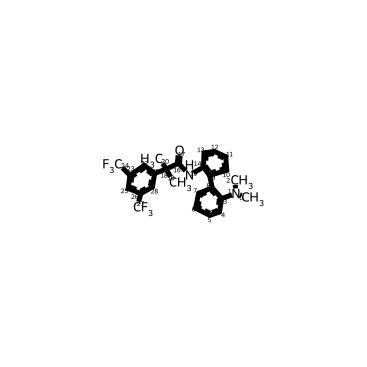 CN(C)c1ccccc1-c1ccccc1NC(=O)C(C)(C)c1cc(C(F)(F)F)cc(C(F)(F)F)c1